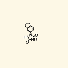 O=c1[nH]c(=O)n(-c2ccc3c(c2)CCC3)[nH]1